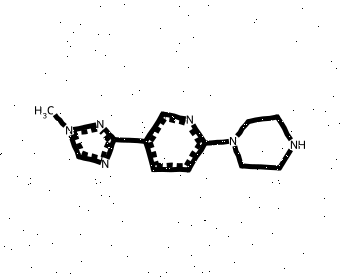 Cn1cnc(-c2ccc(N3CCNCC3)nc2)n1